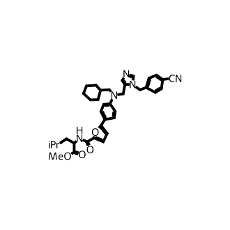 COC(=O)C(CC(C)C)NC(=O)c1ccc(-c2ccc(N(Cc3cncn3Cc3ccc(C#N)cc3)CC3CCCCC3)cc2)o1